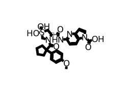 COc1ccc(C2(C(=O)N3CS(O)(O)C[C@@H]3C(=O)Nc3ccc4c(ccn4C(=O)O)n3)CCCC2)cc1